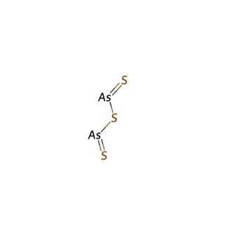 S=[As]S[As]=S